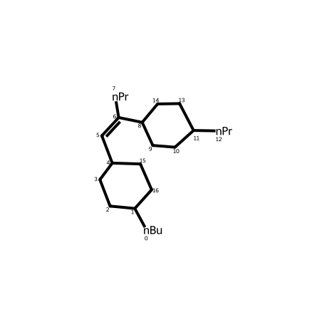 CCCCC1CCC(C=C(CCC)C2CCC(CCC)CC2)CC1